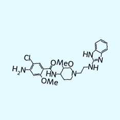 COc1cc(N)c(Cl)cc1C(=O)NC1CCN(CCNc2nc3ccccc3[nH]2)CC1OC